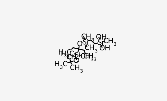 CCC(CC)(O[Si](C)(C)CC[Si](C)(O)O)[Si](C)(C)OC(C)(C)C